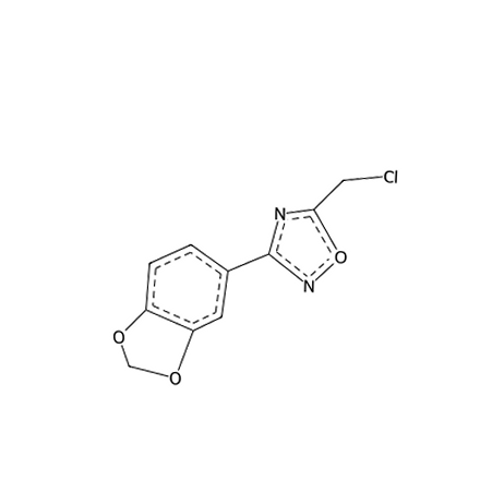 ClCc1nc(-c2ccc3c(c2)OCO3)no1